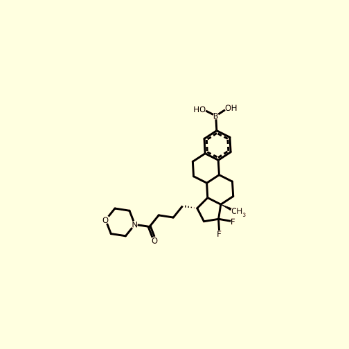 C[C@]12CCC3c4ccc(B(O)O)cc4CCC3C1[C@@H](CCCC(=O)N1CCOCC1)CC2(F)F